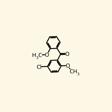 COc1ccccc1C(=O)c1cc(Cl)ccc1OC